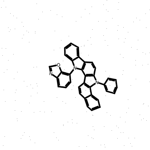 c1ccc(-n2c3ccc4c5ccccc5n(-c5cccc6ncoc56)c4c3c3ccc4ccccc4c32)cc1